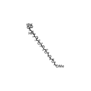 COCCOCCOCCOCCOCCOCCOCCNCCC(=O)OC(C)(C)C